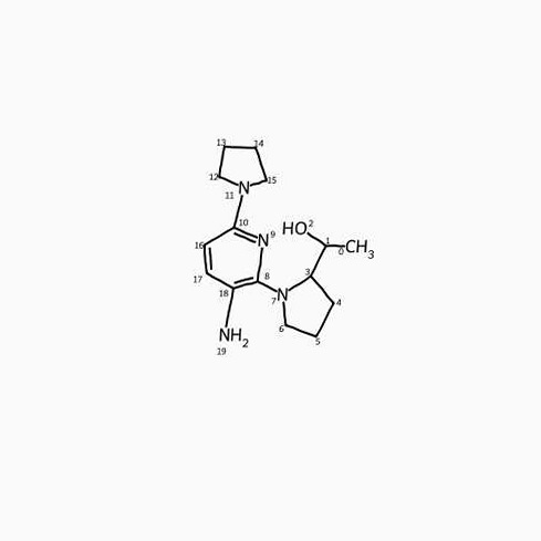 CC(O)C1CCCN1c1nc(N2CCCC2)ccc1N